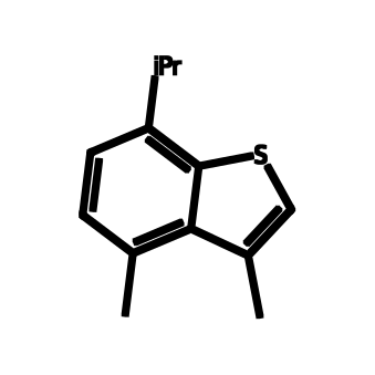 Cc1ccc(C(C)C)c2scc(C)c12